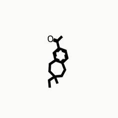 CCC1(C)CCc2ccc(C(C)=O)cc2CC1